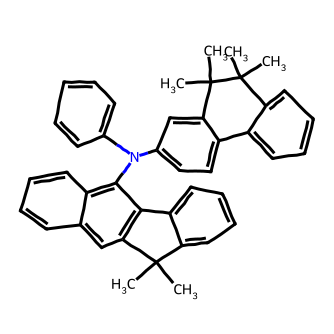 CC1(C)c2ccccc2-c2c1cc1ccccc1c2N(c1ccccc1)c1ccc2c(c1)C(C)(C)C(C)(C)c1ccccc1-2